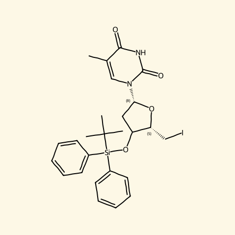 Cc1cn([C@H]2CC(O[Si](c3ccccc3)(c3ccccc3)C(C)(C)C)[C@@H](CI)O2)c(=O)[nH]c1=O